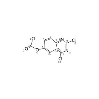 O=C(Cl)Oc1ccc2nc(Cl)nc(Cl)c2c1